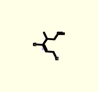 COCC(C)/C(Cl)=C\CCl